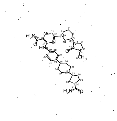 CN1CCN([C@@H]2CCCN(c3cnc(C(N)=O)c(Nc4ccc(C5CCN(C6CCC(C(N)=O)C6)CC5)cc4)n3)C2)C1=O